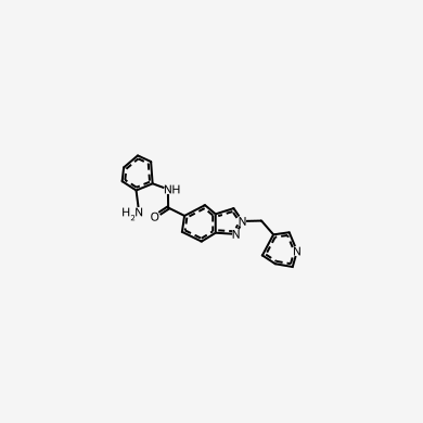 Nc1ccccc1NC(=O)c1ccc2nn(Cc3cccnc3)cc2c1